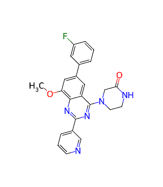 COc1cc(-c2cccc(F)c2)cc2c(N3CCNC(=O)C3)nc(-c3cccnc3)nc12